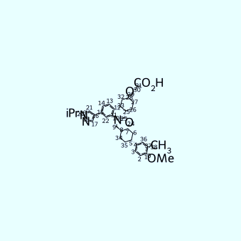 COc1ccc([C@H]2CC[C@H](CN(c3cccc(-c4cnn(C(C)C)c4)c3)C(=O)[C@H]3CC[C@H](OCC(=O)O)CC3)CC2)cc1C